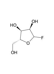 OC[C@H]1OC(F)[C@H](O)[C@@H]1O